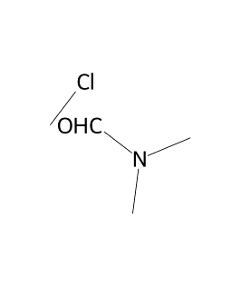 CCl.CN(C)C=O